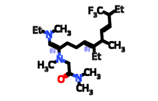 CC/C(=C\CC/C(=C\N(C)CC)N(C)CC(=O)N(C)C)C(C)C=CC(CC)C(F)(F)F